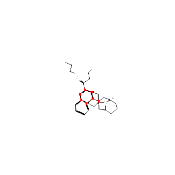 CCOC(=O)CCC(=NOCCO)c1nc2ccccc2n(C2CC3CCC[C@H](C2)N3C2CC3CCCC(C3)C2)c1=O